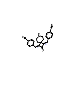 N#Cc1ccc(/C=C2/C(=O)/C(=C/c3ccc(C#N)cc3)C23CCNCC3)cc1